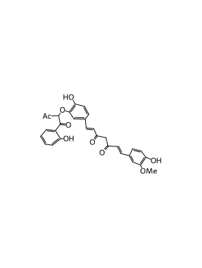 COc1cc(C=CC(=O)CC(=O)C=Cc2ccc(O)c(OC(C(C)=O)C(=O)c3ccccc3O)c2)ccc1O